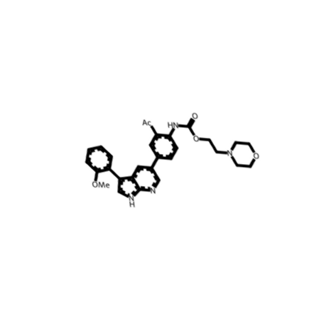 COc1ccccc1-c1c[nH]c2ncc(-c3ccc(NC(=O)OCCN4CCOCC4)c(C(C)=O)c3)cc12